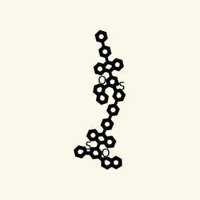 c1ccc(-c2ccc(-c3c4ccccc4c(-c4cc5sc6ccc(-c7ccc(-c8ccc(-c9c%10ccccc%10c(-c%10c%11oc%12c%13ccccc%13ccc%12c%11cc%11c%10sc%10ccccc%10%11)c%10ccccc9%10)cc8)cc7)cc6c5c5c4oc4ccc6ccccc6c45)c4ccccc34)cc2)cc1